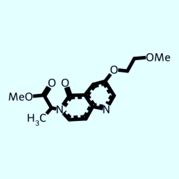 COCCOc1cnc2ccn(C(C)C(=O)OC)c(=O)c2c1